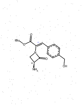 CC(C)(C)OC(=O)/C(=C/c1ccc(CO)cc1)N1C[C@H](N)C1=O